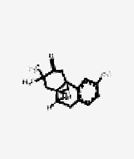 CC1(C)C[C@H]2[C@H]3Cc4ccc(O)cc4[C@@]2(CCN3)CC1=O